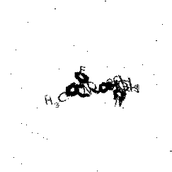 Cc1ccc2c(c1)CCN(C(=O)Cc1ccc3oc(C(C)(O)c4ccncc4F)cc3c1)C2c1ccc(F)cc1